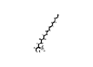 CCCCCCCCCCCCCCCC(CC)[N+](C)(C)[O-]